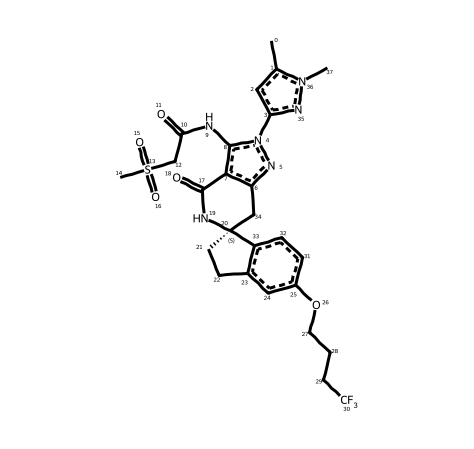 Cc1cc(-n2nc3c(c2NC(=O)CS(C)(=O)=O)C(=O)N[C@@]2(CCc4cc(OCCCC(F)(F)F)ccc42)C3)nn1C